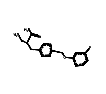 NC[C@H](Cc1ccc(COc2cccc(F)c2)cc1)C(N)=O